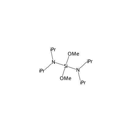 CO[Si](OC)(N(C(C)C)C(C)C)N(C(C)C)C(C)C